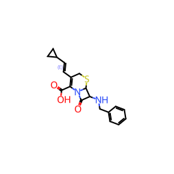 O=C(O)C1=C(/C=C/C2CC2)CSC2C(NCc3ccccc3)C(=O)N12